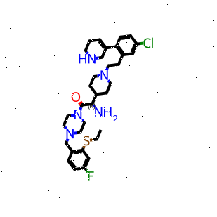 CCSc1cc(F)ccc1CN1CCN(C(=O)[C@H](N)C2CCN(CCc3cc(Cl)ccc3C3=CCCNC3)CC2)CC1